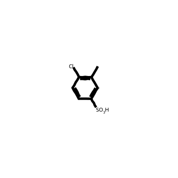 Cc1[c]c(S(=O)(=O)O)ccc1Cl